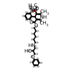 COC(=O)C1=C(C)NC(C)=C(C(=O)OCCCCCCNCC(O)COc2ccccc2)C1c1ccccc1[N+](=O)[O-]